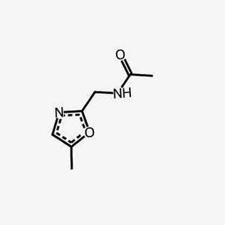 CC(=O)NCc1ncc(C)o1